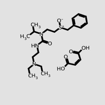 CCN(CC)CCNC(=O)N(CC[S+]([O-])Cc1ccccc1)C(C)C.O=C(O)/C=C\C(=O)O